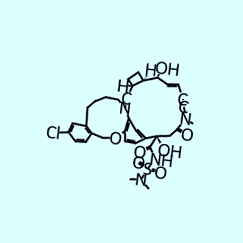 CN1CC/C=C/[C@H](O)[C@@H]2CC[C@H]2CN2CCCCc3cc(Cl)ccc3COc3ccc(cc32)[C@@](O)(C(=O)NS(=O)(=O)N(C)C)CC1=O